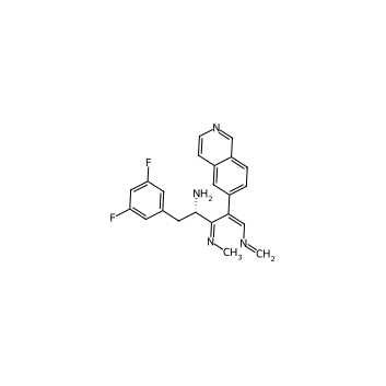 C=N/C=C(\C(=N/C)[C@@H](N)Cc1cc(F)cc(F)c1)c1ccc2cnccc2c1